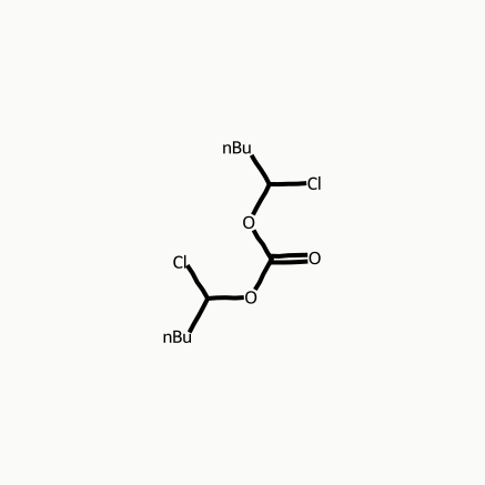 CCCCC(Cl)OC(=O)OC(Cl)CCCC